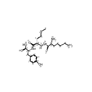 CSCC[C@H](N[Se]C(=O)[C@@H](N)CCCCN)C(=O)N[C@@H](Cc1ccc(O)cc1)C(=O)O